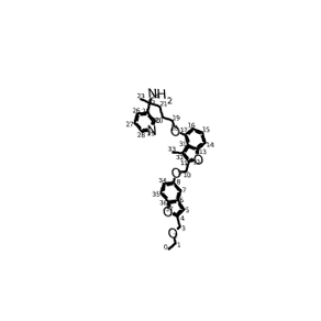 CCOCc1cc2cc(OCc3oc4cccc(OCCCC(C)(N)c5cccnc5)c4c3C)ccc2o1